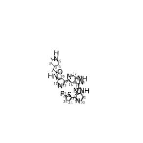 O=C(CC1CCNCC1)Nc1cncc(-c2cc3c(-c4nc5c(-c6ccc(F)s6)nccc5[nH]4)n[nH]c3cn2)c1